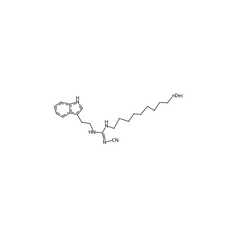 CCCCCCCCCCCCCCCCCCCN/C(=N\C#N)NCCc1c[nH]c2ccccc12